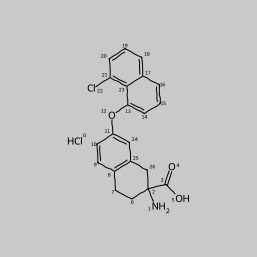 Cl.NC1(C(=O)O)CCc2ccc(Oc3cccc4cccc(Cl)c34)cc2C1